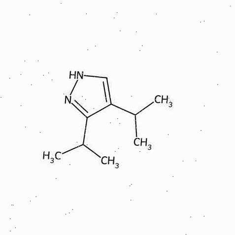 CC(C)c1c[nH]nc1C(C)C